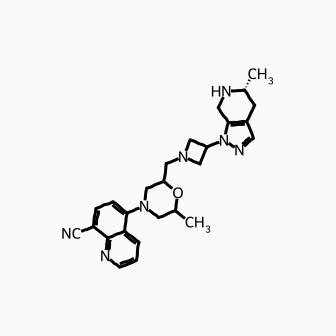 CC1CN(c2ccc(C#N)c3ncccc23)CC(CN2CC(n3ncc4c3CN[C@H](C)C4)C2)O1